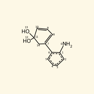 Nc1ccccc1C1=CC=CC(O)(O)C1